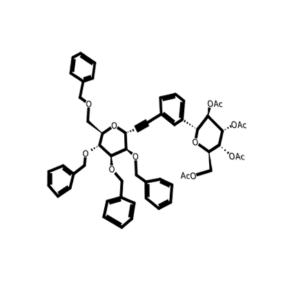 CC(=O)OC[C@H]1O[C@H](c2cccc(C#C[C@H]3O[C@H](COCc4ccccc4)[C@@H](OCc4ccccc4)[C@H](OCc4ccccc4)[C@@H]3OCc3ccccc3)c2)[C@@H](OC(C)=O)[C@H](OC(C)=O)[C@@H]1OC(C)=O